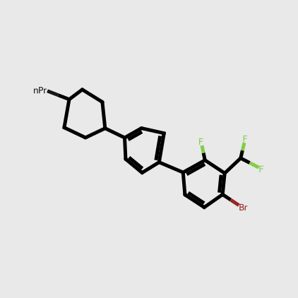 CCCC1CCC(c2ccc(-c3ccc(Br)c(C(F)F)c3F)cc2)CC1